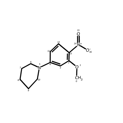 COc1cc(N2CC[CH]CC2)ccc1[N+](=O)[O-]